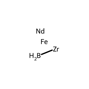 [BH2][Zr].[Fe].[Nd]